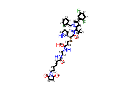 CC(C)(C)[C@H](c1cc(-c2cc(F)ccc2F)cn1Cc1ccccc1)N(C[C@@H]1CNC[C@@H]1F)C(=O)CSCCC(O)NCCNC(=O)CCCCCN1C(=O)C=CC1=O